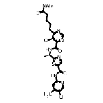 CNC(=O)CCCCc1ncnc(C(=O)N[C@H](C)c2ncc(C(=O)Nc3cc(C(F)(F)F)c(Cl)cn3)s2)c1Cl